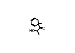 CC(O)C(=O)C1(C)C=CC=CC1